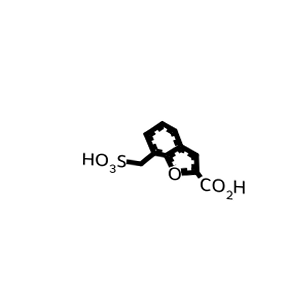 O=C(O)c1cc2cccc(CS(=O)(=O)O)c2o1